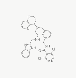 O=C(NCc1cccc(CN(CCNCc2nc3ccccc3[nH]2)C2CCOc3cccnc32)c1)c1c(Cl)cncc1Cl